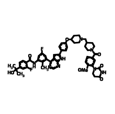 COc1ccc(C(=O)N2CCC(CN3CCC(Oc4ccc(-c5cc6c(-c7cc(F)cc(NC(=O)c8ccc(C(C)(C)O)cc8F)c7C)ncnc6[nH]5)cc4)CC3)CC2)cc1N1CCC(=O)NC1=O